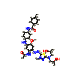 COc1cc(N=Nc2sc(N(CC(C)O)CC(C)O)n[n+]2C)c(NC(C)=O)cc1Nc1ccc(NC(=O)c2ccc(C)cc2)cc1